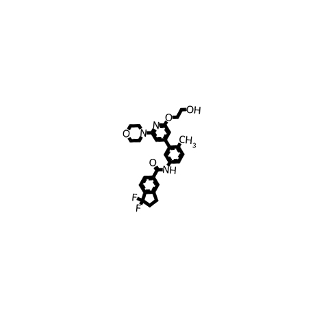 Cc1ccc(NC(=O)c2ccc3c(c2)CCC3(F)F)cc1-c1cc(OCCO)nc(N2CCOCC2)c1